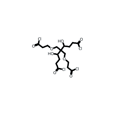 O=C(Cl)CCOCC(COCCC(=O)Cl)(C(O)CCC(=O)Cl)C(O)CCC(=O)Cl